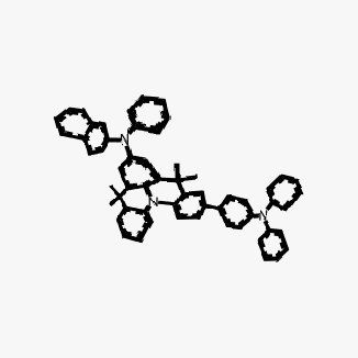 CC1(C)c2ccccc2N2c3ccc(-c4ccc(N(c5ccccc5)c5ccccc5)cc4)cc3C(C)(C)c3cc(N(c4ccccc4)c4ccc5ccccc5c4)cc1c32